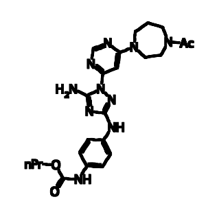 CCCOC(=O)Nc1ccc(Nc2nc(N)n(-c3cc(N4CCCN(C(C)=O)CC4)ncn3)n2)cc1